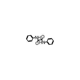 O=C(Nc1ccccc1)C(=O)Nc1ccccc1